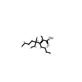 CCCCC(=C(C)C(=O)O)C(C)(CC)CCCC